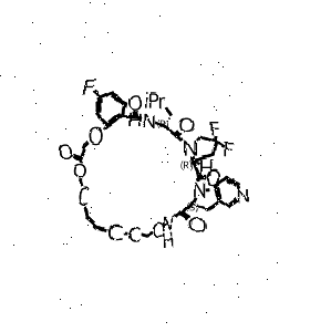 CC(C)C[C@H]1NC(=O)c2ccc(F)cc2OCC(=O)OCCCCCCCCNC(=O)[C@H](Cc2cccnc2)N(C)C(=O)[C@H]2CC(F)(F)CN2C1=O